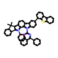 CC1(C)c2ccccc2-c2c1c1ccc3c4cc(-c5cccc6c5sc5ccccc56)ccc4n(-c4nc(-c5ccccc5)c5ccccc5n4)c3c1n2-c1ccccc1